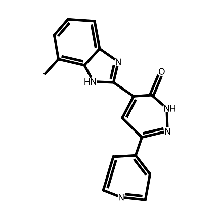 Cc1cccc2nc(-c3cc(-c4ccncc4)n[nH]c3=O)[nH]c12